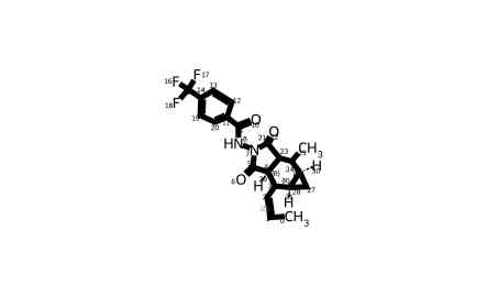 C/C=C\C1[C@H]2C(=O)N(NC(=O)c3ccc(C(F)(F)F)cc3)C(=O)C2C(C)[C@H]2C[C@@H]12